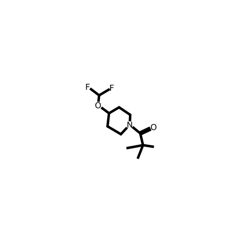 CC(C)(C)C(=O)N1CCC(OC(F)F)CC1